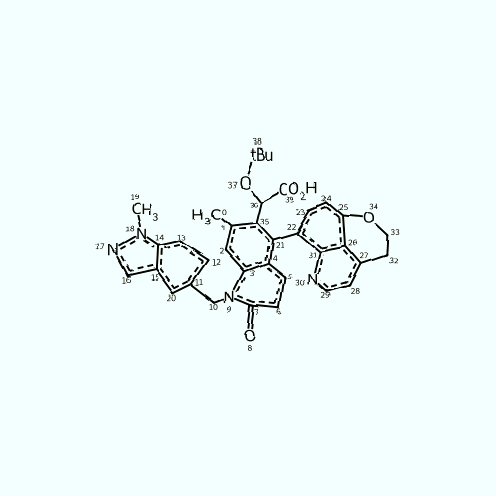 Cc1cc2c(ccc(=O)n2Cc2ccc3c(cnn3C)c2)c(-c2ccc3c4c(ccnc24)CCO3)c1C(OC(C)(C)C)C(=O)O